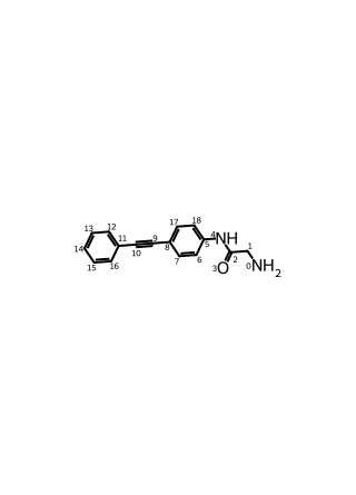 NCC(=O)Nc1ccc(C#Cc2ccccc2)cc1